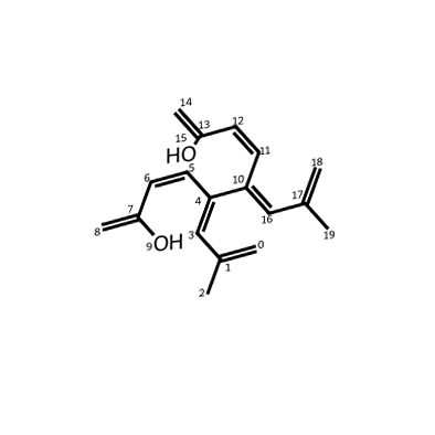 C=C(C)/C=C(/C=C\C(=C)O)C(\C=C/C(=C)O)=C\C(=C)C